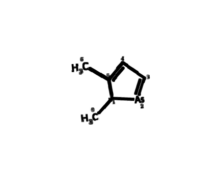 C[C]1[As]=CC=C1C